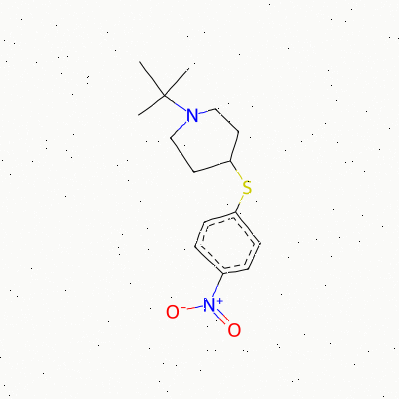 CC(C)(C)N1CCC(Sc2ccc([N+](=O)[O-])cc2)CC1